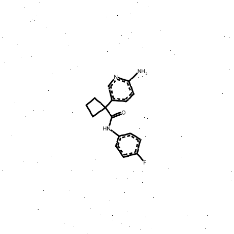 Nc1ccc(C2(C(=O)Nc3ccc(F)cc3)CCC2)cn1